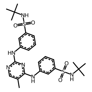 Cc1cnc(Nc2cccc(S(=O)(=O)NC(C)(C)C)c2)nc1Nc1cccc(S(=O)(=O)NC(C)(C)C)c1